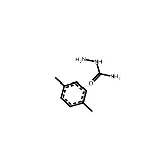 Cc1ccc(C)cc1.NNC(N)=O